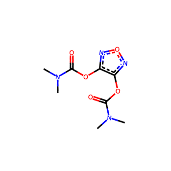 CN(C)C(=O)Oc1nonc1OC(=O)N(C)C